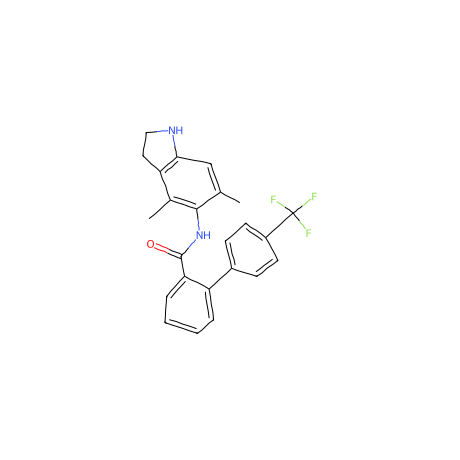 Cc1cc2c(c(C)c1NC(=O)c1ccccc1-c1ccc(C(F)(F)F)cc1)CCN2